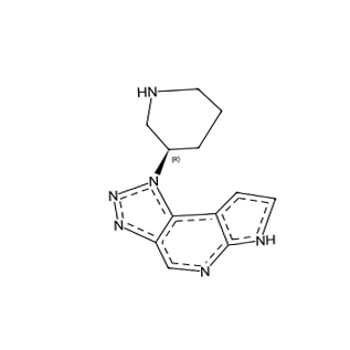 c1cc2c(ncc3nnn([C@@H]4CCCNC4)c32)[nH]1